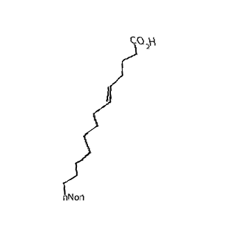 CCCCCCCCCCCCCCCCC=CCCCC(=O)O